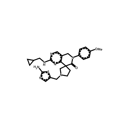 COc1ccc(N2Cc3cnc(NCC4CC4)nc3C3(CCN(Cc4cnc(N)s4)C3)C2=O)cc1